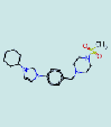 CS(=O)(=O)N1CCN(Cc2ccc(N3C=CN(C4CCCCC4)C3)cc2)CC1